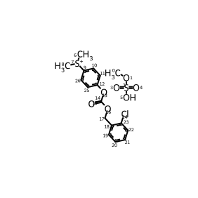 COS(=O)(=O)O.C[S+](C)c1ccc(OC(=O)OCc2ccccc2Cl)cc1